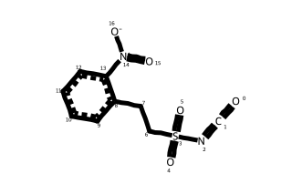 O=C=NS(=O)(=O)CCc1ccccc1[N+](=O)[O-]